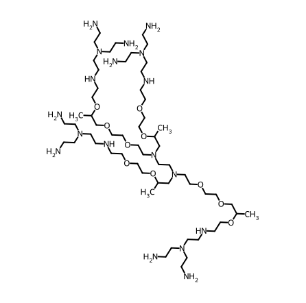 CC(COCCOCCN(CCN(CCOCCOCC(C)OCCNCCN(CCN)CCN)CC(C)OCCOCCNCCN(CCN)CCN)CC(C)OCCOCCNCCN(CCN)CCN)OCCNCCN(CCN)CCN